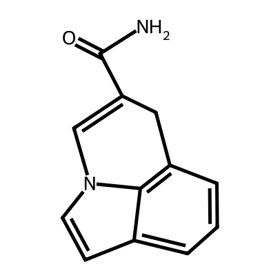 NC(=O)C1=Cn2ccc3cccc(c32)C1